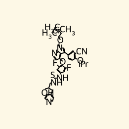 CC(C)Oc1ccc(-c2cn(COCC[Si](C)(C)C)c3nccc(Oc4c(F)cc(NC(=S)NCC(CO)Cc5ccncc5)cc4F)c23)cc1C#N